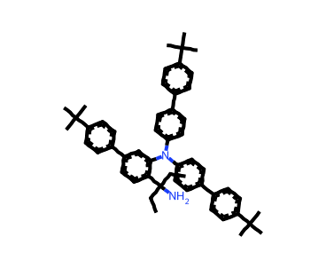 CCC(N)(CC)c1ccc(-c2ccc(C(C)(C)C)cc2)cc1N(c1ccc(-c2ccc(C(C)(C)C)cc2)cc1)c1ccc(-c2ccc(C(C)(C)C)cc2)cc1